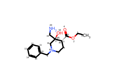 CCOC(=O)[C@@H]1CCN(Cc2ccccc2)C[C@]1(O)CN